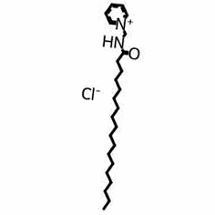 CCCCCCCCCCCCCCCCCC(=O)NC[n+]1ccccc1.[Cl-]